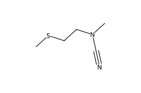 CSCCN(C)C#N